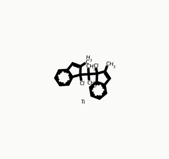 CC1=Cc2ccccc2C1(Cl)C(C)(C)C1(Cl)C(C)=Cc2ccccc21.[Ti]